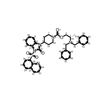 C[C@@H](COC(=O)N1CCC(n2c(=O)n(S(=O)(=O)c3cccc4cccnc34)c3ccccc32)CC1)N(Cc1ccccc1)Cc1ccccc1